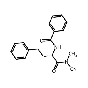 CN(C#N)C(=O)[C@H](CCc1ccccc1)NC(=O)c1ccccc1